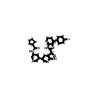 O=C(Nc1cncc(-c2cnc3[nH]nc(-c4nc5c(-c6ccc(F)cc6)ccnc5[nH]4)c3c2)c1)C1CCCC1